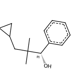 CC(C)(CC1CC1)[C@@H](O)c1ccccc1